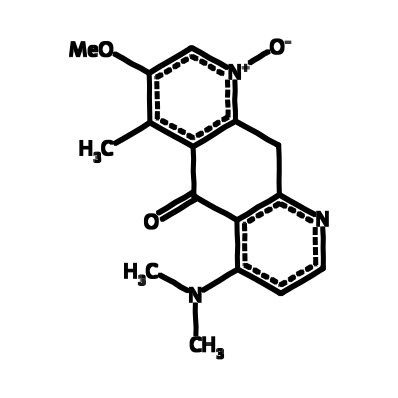 COc1c[n+]([O-])c2c(c1C)C(=O)c1c(N(C)C)ccnc1C2